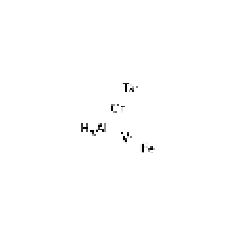 [AlH3].[Cr].[Fe].[Ta].[V]